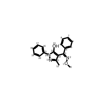 CON=C(c1ccccc1)c1c(C)nn(-c2ccccc2)c1O